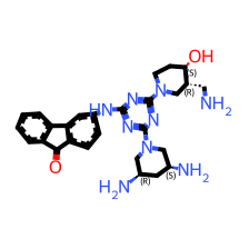 NC[C@@H]1CN(c2nc(Nc3ccc4c(c3)-c3ccccc3C4=O)nc(N3C[C@H](N)C[C@H](N)C3)n2)CC[C@@H]1O